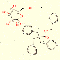 O=C(OCc1ccccc1)C(Cc1ccccc1)(Cc1ccccc1)Cc1ccccc1.OC[C@H]1OC(O)(O)[C@H](O)[C@@H](O)[C@H]1O